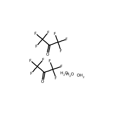 O.O.O.O=C(C(F)(F)F)C(F)(F)F.O=C(C(F)(F)F)C(F)(F)F